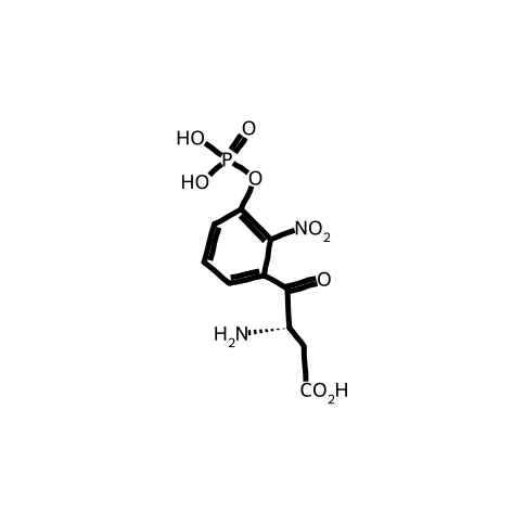 N[C@@H](CC(=O)O)C(=O)c1cccc(OP(=O)(O)O)c1[N+](=O)[O-]